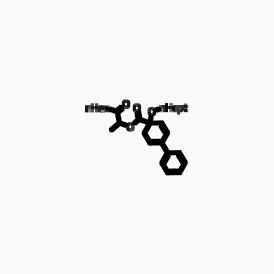 CCCCCCCOC1(C(=O)OC(C)C(=O)CCCCCC)C=CC(c2ccccc2)=CC1